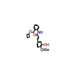 COc1ccc(C=CC(=O)Nc2ccccc2COC2CCC2)cc1O